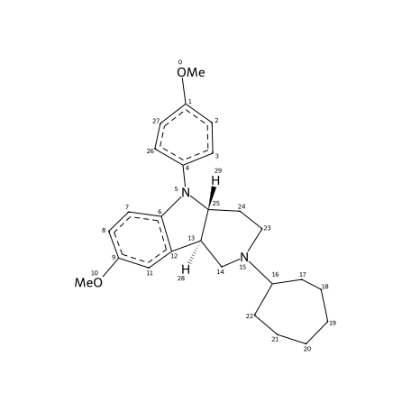 COc1ccc(N2c3ccc(OC)cc3[C@@H]3CN(C4CCCCCC4)CC[C@H]32)cc1